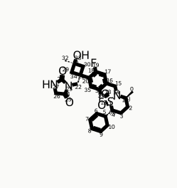 C[C@H]1CC[C@H](C2C=CC=CC2)S(=O)(=O)N1Cc1cc(F)c([C@]2(CN3C(=O)CNC3=O)C[C@](C)(O)C2)cc1F